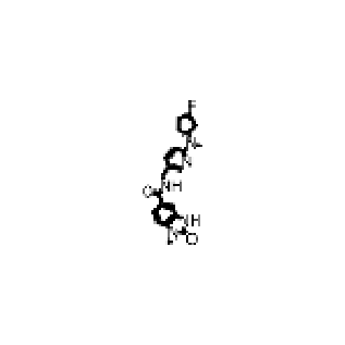 CN(c1ccc(CNC(=O)c2ccc3c(c2)[nH]c(=O)n3C)cn1)[C@H]1CC[C@@H](F)C1